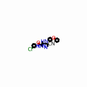 Cc1c(C(=O)Nc2cccc(Cl)c2)cn2ncc(C#N)c(Nc3ccc(Oc4ccccc4)cc3)c12